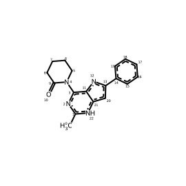 Cc1nc(N2CCCCC2=O)c2nc(-c3ccccc3)cc-2[nH]1